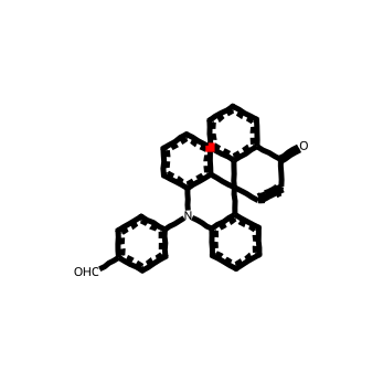 O=Cc1ccc(N2c3ccccc3C3(c4ccccc4C(=O)c4ccccc43)c3ccccc32)cc1